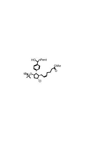 CCCCCC(O)c1ccc([C@@H]2[C@@H](C/C=C\CCCC(=O)OC)[C@H](Cl)C[C@H]2O[Si](C)(C)C(C)(C)C)cc1